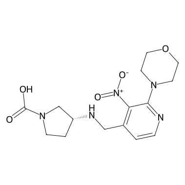 O=C(O)N1CC[C@@H](NCc2ccnc(N3CCOCC3)c2[N+](=O)[O-])C1